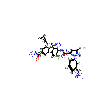 N#Cc1cc(C(=O)Nc2cc(C(N)(CCC3CC3)c3ccc(C(N)=O)cc3)ccc2F)n(-c2cccc(CN)c2)n1